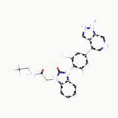 Cn1ncc2c(-c3cc(F)c(-n4c(=O)n(CC(=O)NCC(F)(F)F)c5ccccc54)c(F)c3)cncc21